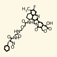 Cc1c(F)cc2nc3c(c4c2c1CCC4NC(=O)COCNC(=O)CNC(=O)[C@@H](Cc1ccccc1)N=O)Cn1c-3cc2c(c1=O)COC(=O)[C@@H]2O